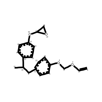 C=COCOc1ccc(CC(C)c2ccc(OC3CO3)cc2)cc1